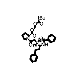 CC(C)(C)C(=O)OCOC(=O)[C@@H]1CCCN1C(=O)CP(=O)(O)C(CCc1ccccc1)NC(=O)c1ccccc1